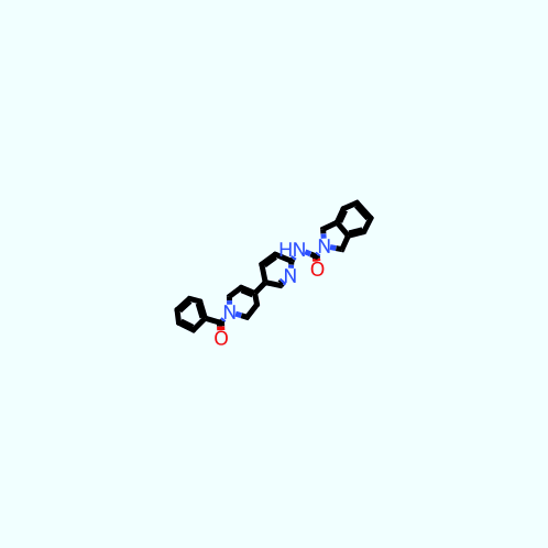 O=C(NC1C=CC(C2=CCN(C(=O)c3ccccc3)CC2)C=N1)N1Cc2ccccc2C1